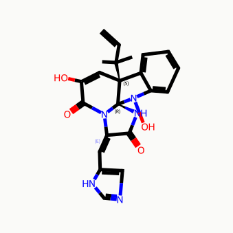 C=CC(C)(C)[C@]12C=C(O)C(=O)N3/C(=C/c4cnc[nH]4)C(=O)N[C@@]31N(O)c1ccccc12